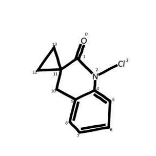 O=C1N(Cl)c2ccccc2CC12CC2